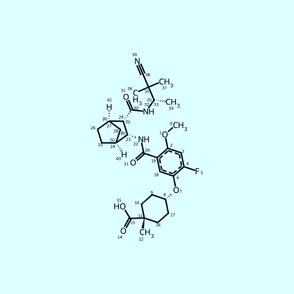 COc1cc(F)c(O[C@H]2CC[C@@](C)(C(=O)O)CC2)cc1C(=O)N[C@@H]1[C@H]2CC[C@H](C2)[C@@H]1C(=O)N[C@@H](C)C(C)(C)C#N